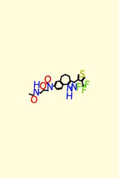 CC(=O)NCC1CN(c2ccc3c(c2)CCCc2c(-c4cscc4C(F)(F)F)n[nH]c2-3)C(=O)O1